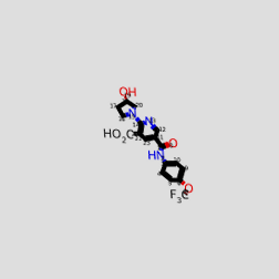 O=C(Nc1ccc(OC(F)(F)F)cc1)c1cnc(N2CC[C@@H](O)C2)c(C(=O)O)c1